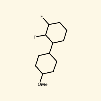 COC1CCC(C2CCCC(F)C2F)CC1